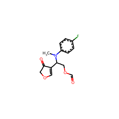 CN(c1ccc(F)cc1)C(COC=O)C1=COCC1=O